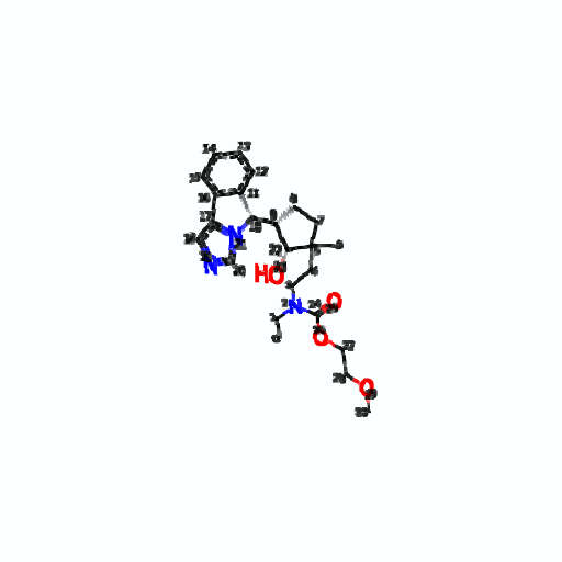 CCN(CCC1(C)CC[C@@H]([C@H]2c3ccccc3-c3cncn32)[C@H]1O)C(=O)OCCOC